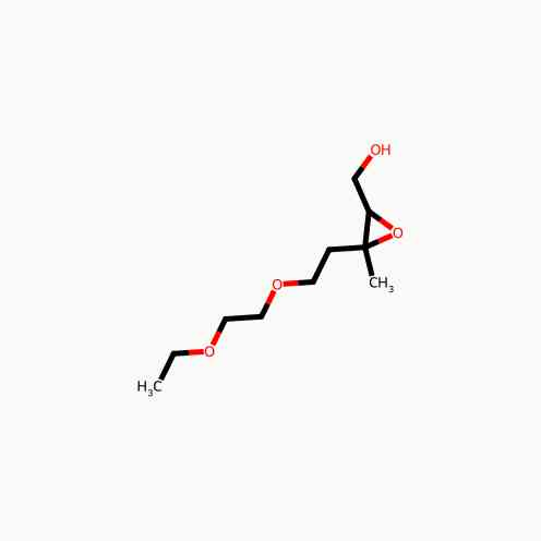 CCOCCOCCC1(C)OC1CO